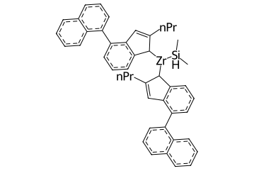 CCCC1=Cc2c(-c3cccc4ccccc34)cccc2[CH]1[Zr]([CH]1C(CCC)=Cc2c(-c3cccc4ccccc34)cccc21)[SiH](C)C